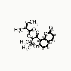 C/C=C(/C)C(=O)OC1C(=O)c2c(ccc3ccc(=O)oc23)OC1(C)C